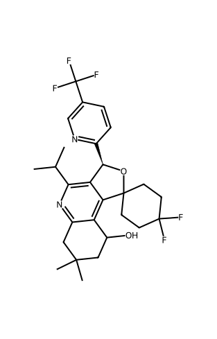 CC(C)c1nc2c(c3c1[C@@H](c1ccc(C(F)(F)F)cn1)OC31CCC(F)(F)CC1)C(O)CC(C)(C)C2